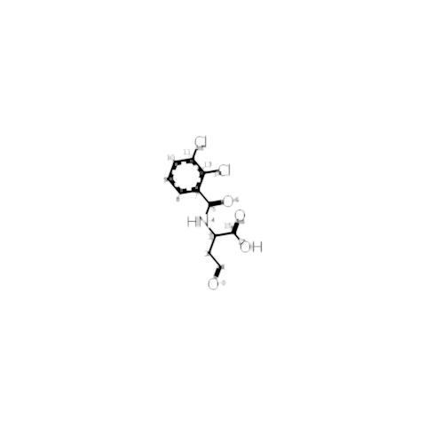 O=CCC(NC(=O)c1cccc(Cl)c1Cl)C(=O)O